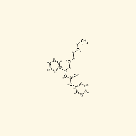 CCOCCOCC(OC(=O)Oc1ccccc1)c1ccccc1